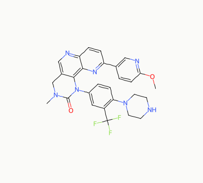 COc1ccc(-c2ccc3ncc4c(c3n2)N(c2ccc(N3CCNCC3)c(C(F)(F)F)c2)C(=O)N(C)C4)cn1